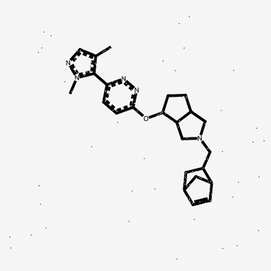 Cc1cnn(C)c1-c1ccc(OC2CCC3CN(CC4CC5C=CC4C5)CC32)nn1